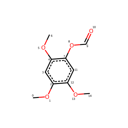 COc1cc(OC)c(O[C]=O)cc1OC